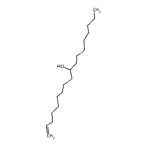 C=CCCCCCCCC(O)CCCCCCCC